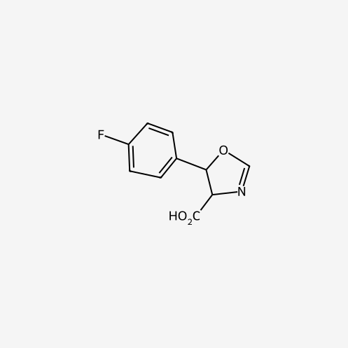 O=C(O)C1N=COC1c1ccc(F)cc1